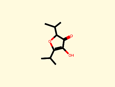 CC(C)C1=C(O)C(=O)C(C(C)C)O1